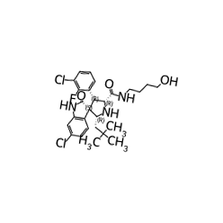 CC(C)(C)C[C@H]1N[C@@H](C(=O)NCCCCO)[C@@H](c2cccc(Cl)c2F)[C@@]12C(=O)Nc1cc(Cl)ccc12